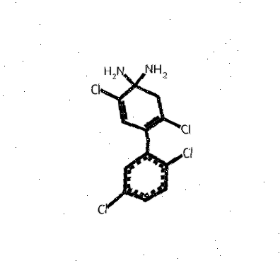 NC1(N)CC(Cl)=C(c2cc(Cl)ccc2Cl)C=C1Cl